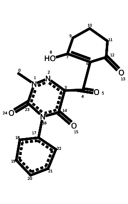 Cn1nc(C(=O)C2=C(O)CCCC2=O)c(=O)n(-c2ccccc2)c1=O